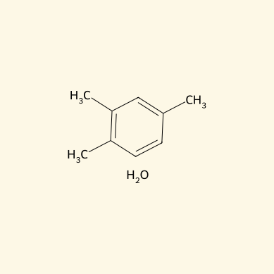 Cc1ccc(C)c(C)c1.O